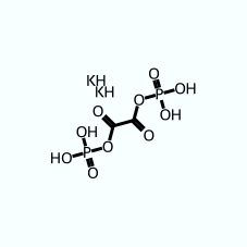 O=C(OP(=O)(O)O)C(=O)OP(=O)(O)O.[KH].[KH]